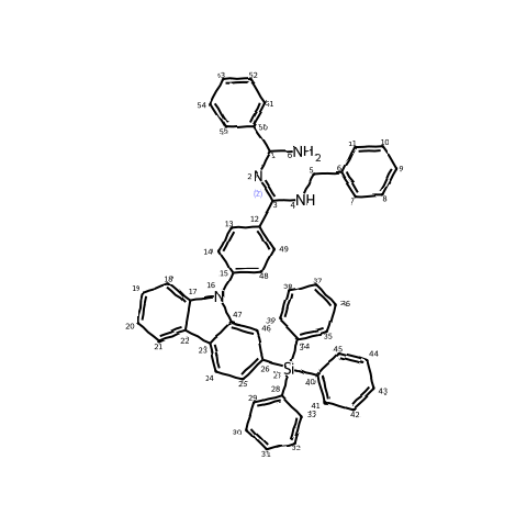 NC(/N=C(\NCc1ccccc1)c1ccc(-n2c3ccccc3c3ccc([Si](c4ccccc4)(c4ccccc4)c4ccccc4)cc32)cc1)c1ccccc1